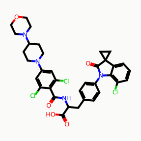 O=C(NC(Cc1ccc(N2C(=O)C3(CC3)c3cccc(Cl)c32)cc1)C(=O)O)c1c(Cl)cc(N2CCC(N3CCOCC3)CC2)cc1Cl